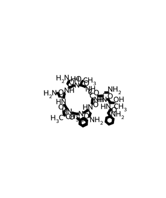 CC(C)C[C@@H]1NC(=O)[C@@H](Cc2ccccc2)NC(=O)[C@H](CCN)NC(=O)[C@@H](NC(=O)[C@H](CCN)NC(=O)[C@@H](NC(=O)CC2(N)CCCCC2)C(C)O)CCNC(=O)C(C(C)O)NC(=O)[C@H](CCN)NC(=O)[C@H](CCN)NC1=O